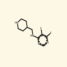 Fc1ncnc(NCC2CCNCC2)c1F